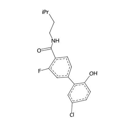 CC(C)CCNC(=O)c1ccc(-c2cc(Cl)ccc2O)cc1F